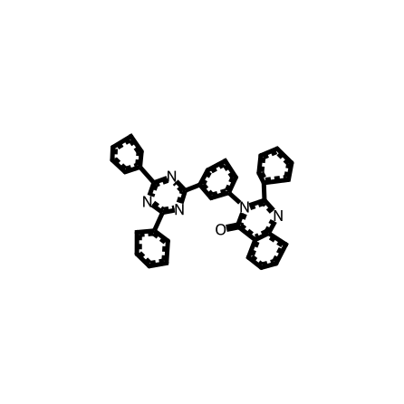 O=c1c2ccccc2nc(-c2ccccc2)n1-c1cccc(-c2nc(-c3ccccc3)nc(-c3ccccc3)n2)c1